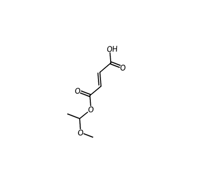 COC(C)OC(=O)C=CC(=O)O